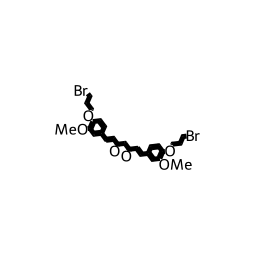 COc1cc(/C=C/C(=O)CC(=O)/C=C/c2ccc(OCCCBr)c(OC)c2)ccc1OCCCBr